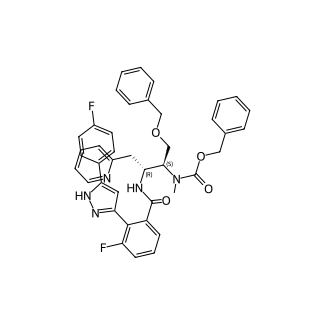 CN(C(=O)OCc1ccccc1)[C@H](COCc1ccccc1)[C@@H](Cc1ccccn1)NC(=O)c1cccc(F)c1-c1cc(-c2ccc(F)cc2)[nH]n1